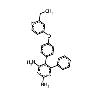 CCc1cc(Oc2ccc(-c3c(N)nc(N)nc3-c3ccccc3)cc2)ccn1